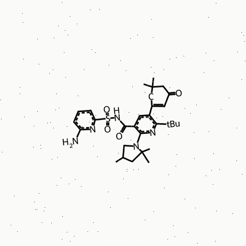 CC1CN(c2nc(C(C)(C)C)c(C3=CC(=O)CC(C)(C)C3)cc2C(=O)NS(=O)(=O)c2cccc(N)n2)C(C)(C)C1